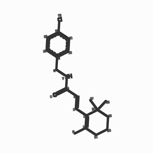 CC1=C(C=CC(=O)NCc2ccc(Cl)cc2)C(C)(C)CCC1